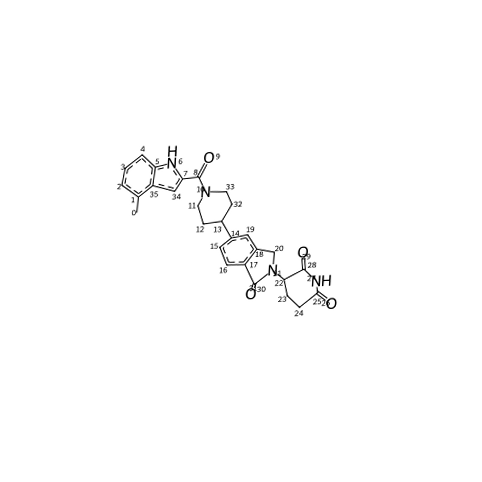 Cc1cccc2[nH]c(C(=O)N3CCC(c4ccc5c(c4)CN(C4CCC(=O)NC4=O)C5=O)CC3)cc12